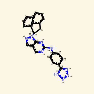 c1cc2c3c(cccc3c1)[C@H](n1ncc3cnc(Nc4ccc(-c5nnn[nH]5)cc4)nc31)C2